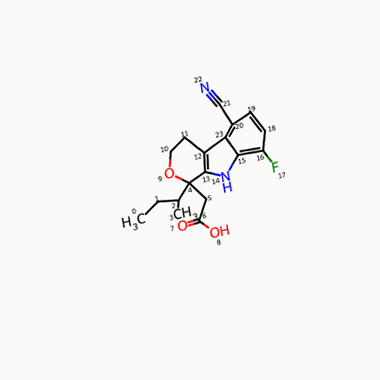 CCC(C)C1(CC(=O)O)OCCc2c1[nH]c1c(F)ccc(C#N)c21